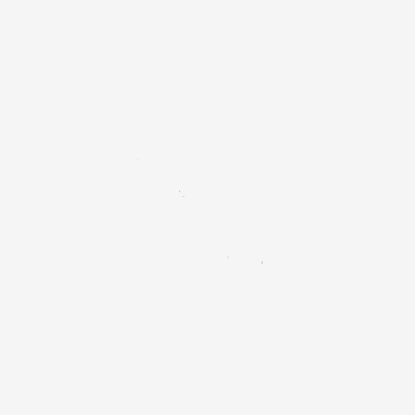 CC(C)[CH2][AlH][CH2]c1ccccc1